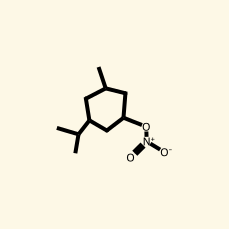 CC1CC(O[N+](=O)[O-])CC(C(C)C)C1